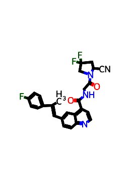 CC(=Cc1ccc2nccc(C(=O)NCC(=O)N3CC(F)(F)CC3C#N)c2c1)c1ccc(F)cc1